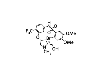 COc1cc(Br)c(S(=O)(=O)Nc2ccc(C(F)(F)F)c(OC3C[C@@H](CO)N(C)C3)c2)cc1OC